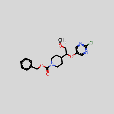 COCC(Oc1cnc(Cl)nc1)C1CCN(C(=O)OCc2ccccc2)CC1